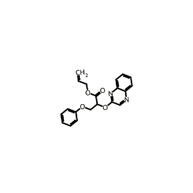 C=CCOC(=O)C(COc1ccccc1)Oc1cnc2ccccc2n1